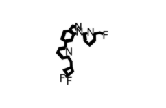 FCc1cccc(-n2ncc3ccc(-c4cccc(CC5CC(F)(F)C5)n4)cc32)n1